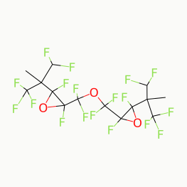 CC(C(F)F)(C(F)(F)F)C1(F)OC1(F)C(F)(F)OC(F)(F)C1(F)OC1(F)C(C)(C(F)F)C(F)(F)F